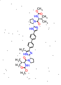 COC(=O)N[C@H](C(=O)N1CCC[C@H]1c1ncc(-c2ccc(-c3ccc(-c4nc([C@@H]5CCCN5C(=O)[C@@H](NC(=O)OC)C(C)C)[nH]c4C)cc3)cc2)[nH]1)C(C)C